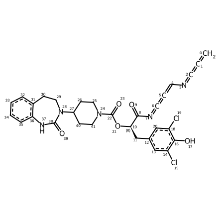 C=C=C=NC=C=C=NC(=O)[C@@H](Cc1cc(Cl)c(O)c(Cl)c1)OC(=O)N1CCC(N2CCc3ccccc3NC2=O)CC1